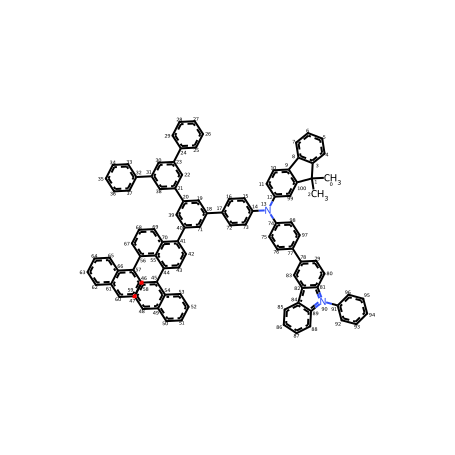 CC1(C)c2ccccc2-c2ccc(N(c3ccc(-c4cc(-c5cc(-c6ccccc6)cc(-c6ccccc6)c5)cc(-c5ccc(-c6cccc7ccccc67)c6c(-c7cccc8ccccc78)cccc56)c4)cc3)c3ccc(-c4ccc5c(c4)c4ccccc4n5-c4ccccc4)cc3)cc21